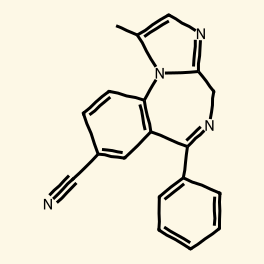 Cc1cnc2n1-c1ccc(C#N)cc1C(c1ccccc1)=NC2